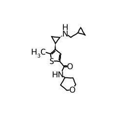 Cc1sc(C(=O)NC2CCOCC2)cc1[C@H]1C[C@@H]1NCC1CC1